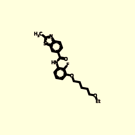 CCOCCCCCOc1cccc(NC(=O)c2ccc3nc(C)sc3c2)c1F